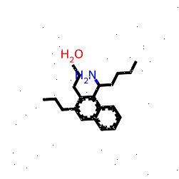 CCCCC(N)c1c(CCC)c(CCC)cc2ccccc12.O